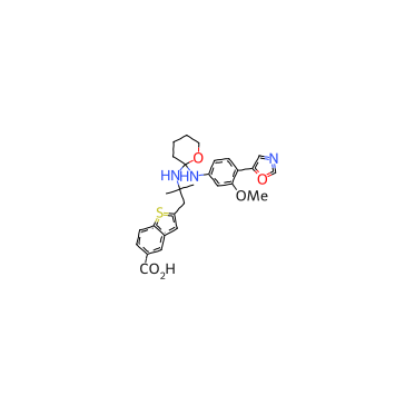 COc1cc(NC2(NC(C)(C)Cc3cc4cc(C(=O)O)ccc4s3)CCCCO2)ccc1-c1cnco1